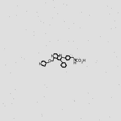 O=C(O)NCc1ccc(-c2nc3ccnc(COCc4ccncc4)c3cc2-c2ccccc2)cc1